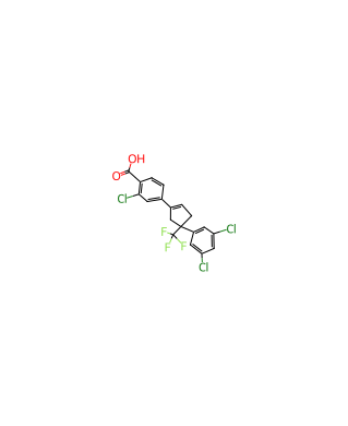 O=C(O)c1ccc(C2=CCC(c3cc(Cl)cc(Cl)c3)(C(F)(F)F)C2)cc1Cl